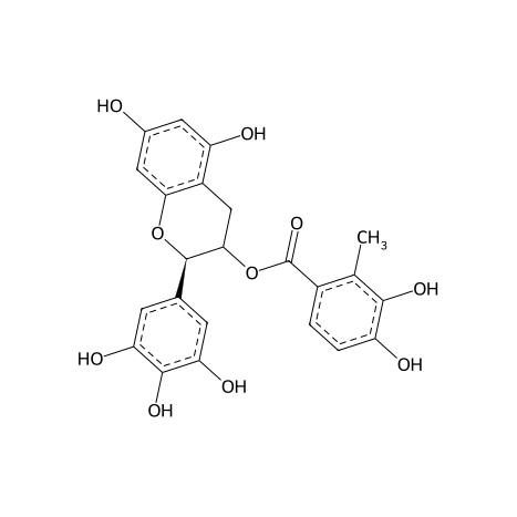 Cc1c(C(=O)OC2Cc3c(O)cc(O)cc3O[C@@H]2c2cc(O)c(O)c(O)c2)ccc(O)c1O